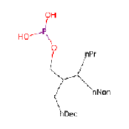 CCCCCCCCCCCC(COP(O)O)C(CCC)CCCCCCCCC